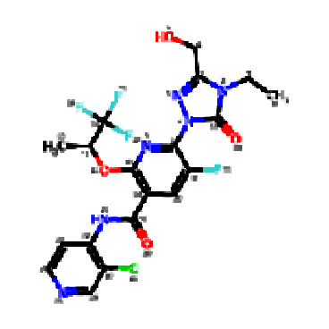 CCn1c(CO)nn(-c2nc(O[C@@H](C)C(F)(F)F)c(C(=O)Nc3ccncc3Cl)cc2F)c1=O